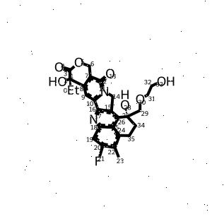 CC[C@@]1(O)C(=O)OCc2c1cc1n(c2=O)Cc2c-1nc1cc(F)c(C)c3c1c2[C@@](O)(COCCO)CC3